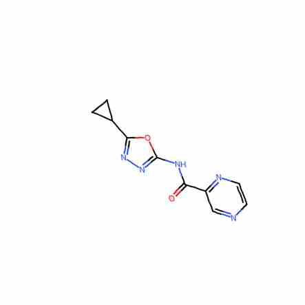 O=C(Nc1nnc(C2CC2)o1)c1cnccn1